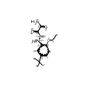 CCOc1ccc(C(C)(C)C)cc1NNC(=O)C(N)=O